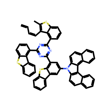 C=C/C=C\c1c(C)sc2cccc(-c3nc(-c4cc(-n5c6ccc7ccccc7c6c6c7ccccc7ccc65)cc5c4sc4ccccc45)nc(-c4cccc5sc6ccccc6c45)n3)c12